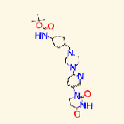 CC(C)(C)OC(=O)NC1CCC(CN2CCN(c3ccc(N4CCC(=O)NC4=O)cn3)CC2)CC1